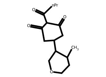 CCCC(=O)C1C(=O)CC(C2COCCC2C)CC1=O